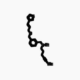 CCN(CCCC#CC(C)(C)C)Cc1cccc(COCC=Cc2ccsc2)c1